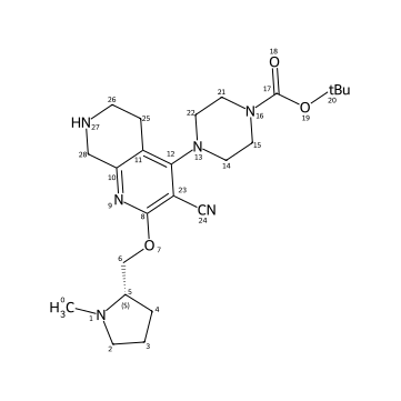 CN1CCC[C@H]1COc1nc2c(c(N3CCN(C(=O)OC(C)(C)C)CC3)c1C#N)CCNC2